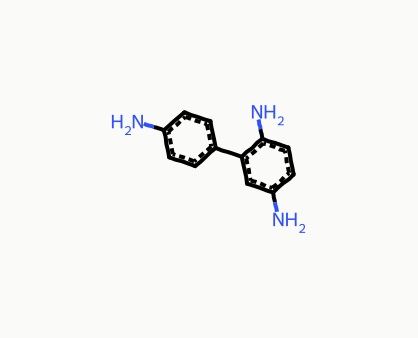 Nc1ccc(-c2cc(N)ccc2N)cc1